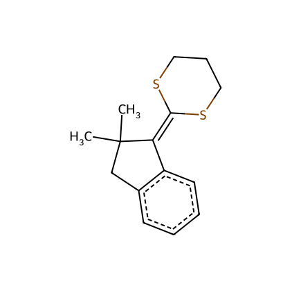 CC1(C)Cc2ccccc2C1=C1SCCCS1